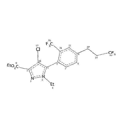 CCOC(=O)c1nn(CC)c(-c2ccc(CCC(F)(F)F)cc2C(F)(F)F)c1Cl